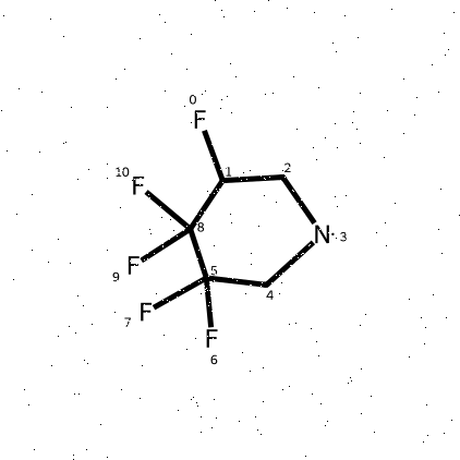 FC1C[N]CC(F)(F)C1(F)F